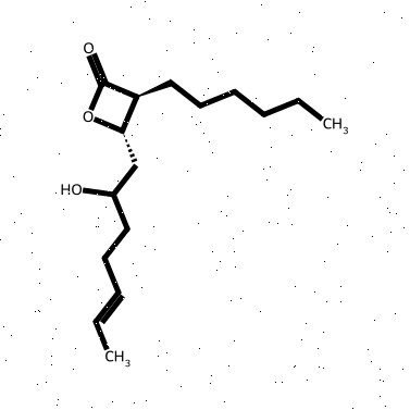 C/C=C/CCC(O)C[C@@H]1OC(=O)[C@H]1CCCCCC